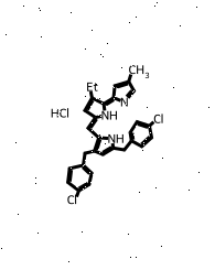 CCc1cc(=Cc2[nH]c(Cc3ccc(Cl)cc3)cc2Cc2ccc(Cl)cc2)[nH]c1=C1C=C(C)C=N1.Cl